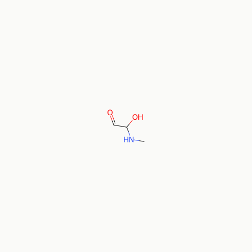 CNC(O)C=O